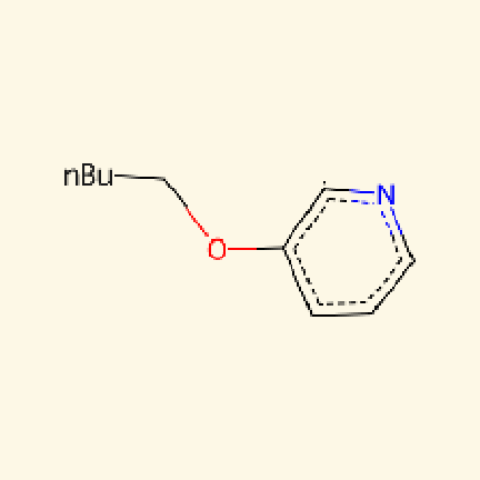 CCCCCOc1[c]nccc1